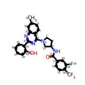 Cc1ccc2c(N3CCC(NC(=O)c4ccc(C(F)(F)F)c(F)c4)C3)nc(-c3ccccc3O)nc2c1